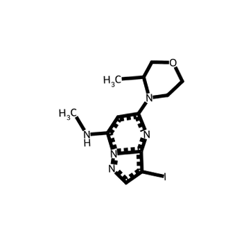 CNc1cc(N2CCOCC2C)nc2c(I)cnn12